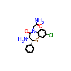 NC(=O)CN1C(=O)[C@H](N)[C@@H](c2ccccc2)Sc2cc(Cl)ccc21